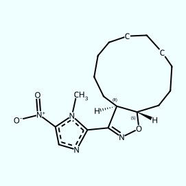 Cn1c([N+](=O)[O-])cnc1C1=NO[C@H]2CCCCCCCCCC[C@H]12